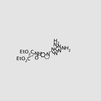 CCOC(=O)CC[C@H](NC(=O)c1ccc2c(c1)CCCN2Cc1cnc2nc(N)nc(N)c2n1)C(=O)OCC